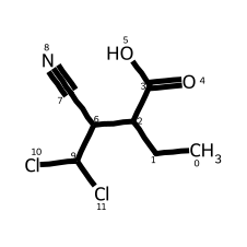 CCC(C(=O)O)C(C#N)C(Cl)Cl